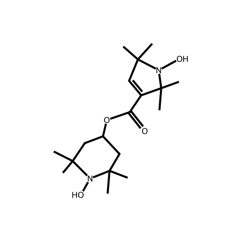 CC1(C)C=C(C(=O)OC2CC(C)(C)N(O)C(C)(C)C2)C(C)(C)N1O